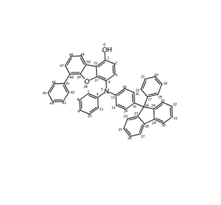 Oc1ccc(N(c2ccccc2)c2ccc(C3(c4ccccc4)c4ccccc4-c4ccccc43)cc2)c2oc3c(-c4ccccc4)cccc3c12